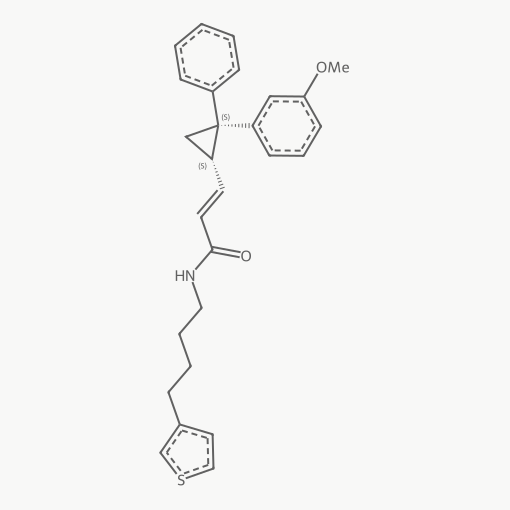 COc1cccc([C@@]2(c3ccccc3)C[C@H]2C=CC(=O)NCCCCc2ccsc2)c1